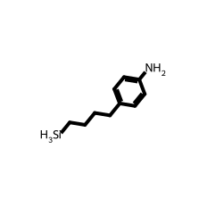 Nc1ccc(CCCC[SiH3])cc1